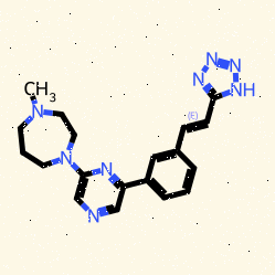 CN1CCCN(c2cncc(-c3cccc(/C=C/c4nnn[nH]4)c3)n2)CC1